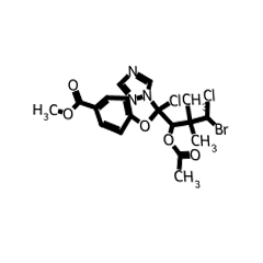 COC(=O)c1ccc(OC(Cl)(C(OC(C)=O)C(C)(C)C(Cl)Br)n2cncn2)cc1